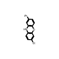 CCc1ccc2c(c1)Oc1ccc(C(C)C)cc1N2